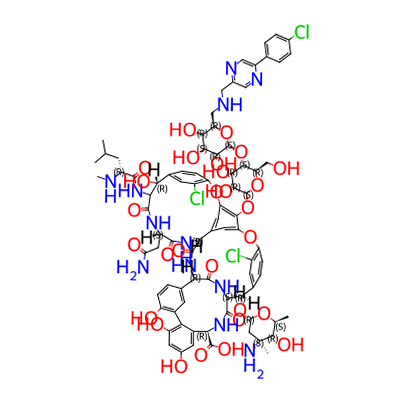 CN[C@H](CC(C)C)C(=O)NC1C(=O)N[C@@H](CC(N)=O)C(=O)N[C@H]2C(=O)N[C@H]3C(=O)N[C@H](C(=O)N[C@@H](C(=O)O)c4cc(O)cc(O)c4-c4cc3ccc4O)[C@H](O[C@H]3C[C@](C)(N)[C@@H](O)[C@H](C)O3)c3ccc(c(Cl)c3)Oc3cc2cc(c3O[C@@H]2O[C@H](CO)[C@@H](O[C@@H]3O[C@H](CNCc4cnc(-c5ccc(Cl)cc5)cn4)[C@H](O)[C@H](O)[C@H]3O)[C@H](O)[C@H]2O)Oc2ccc(cc2Cl)[C@H]1O